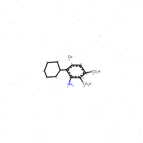 Nc1c(C2CCCCC2)ccc(C(=O)O)c1C(=O)O.[Cu]